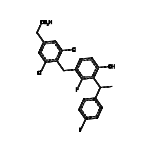 CC(c1ccc(F)cc1)c1c(O)ccc(Cc2c(Cl)cc(CC(=O)O)cc2Cl)c1F